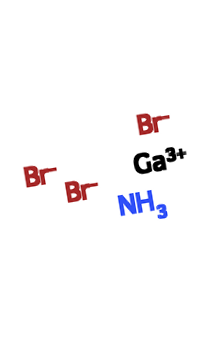 N.[Br-].[Br-].[Br-].[Ga+3]